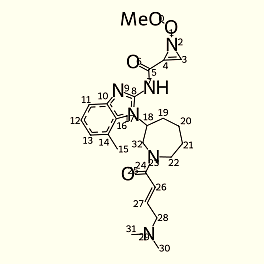 COON1C=C1C(=O)Nc1nc2cccc(C)c2n1C1CCCCN(C(=O)/C=C/CN(C)C)C1